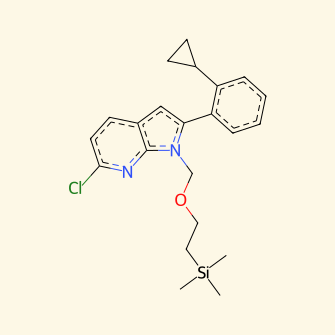 C[Si](C)(C)CCOCn1c(-c2ccccc2C2CC2)cc2ccc(Cl)nc21